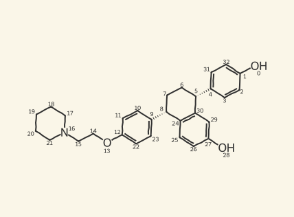 Oc1ccc([C@H]2CC[C@@H](c3ccc(OCCN4CCCCC4)cc3)c3ccc(O)cc32)cc1